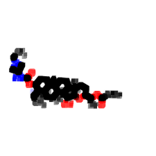 C/C=C1/C(OC(=O)NC2CN(CC(F)(F)F)C2)CCC23CC24CCC2(C)[C@H]5CCC(C(OC(=O)NC)C(C)C)OC5[C@H](O)[C@@]2(C)C4CC[C@@H]13